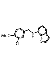 COc1ccc(CNc2cccc3ccsc23)cc1Cl